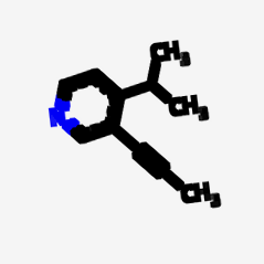 CC#Cc1cnccc1C(C)C